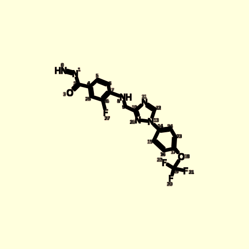 N=NC(=O)c1ccc(NCc2ncn(-c3ccc(OC(F)(F)F)cc3)n2)c(F)c1